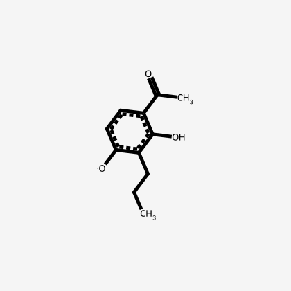 CCCc1c([O])ccc(C(C)=O)c1O